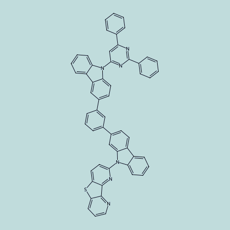 c1ccc(-c2cc(-n3c4ccccc4c4cc(-c5cccc(-c6ccc7c8ccccc8n(-c8ccc9sc%10cccnc%10c9n8)c7c6)c5)ccc43)nc(-c3ccccc3)n2)cc1